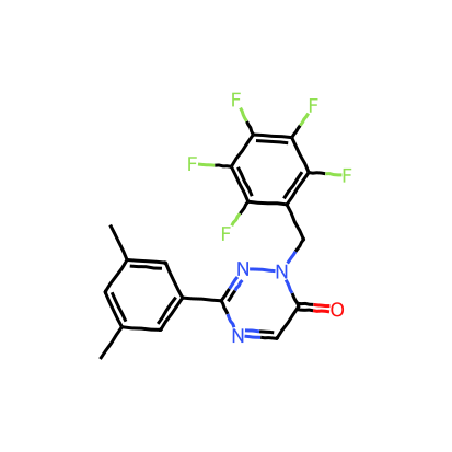 Cc1cc(C)cc(-c2ncc(=O)n(Cc3c(F)c(F)c(F)c(F)c3F)n2)c1